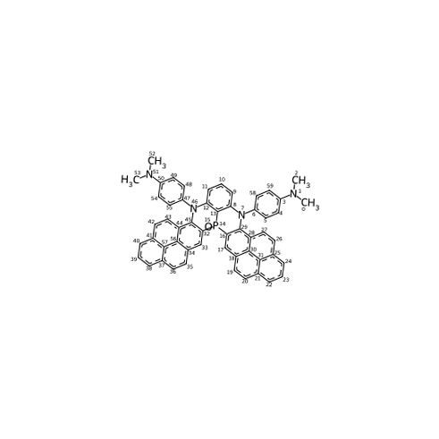 CN(C)c1ccc(N2c3cccc4c3P(=O)(c3cc5ccc6cccc7ccc(c32)c5c67)c2cc3ccc5cccc6ccc(c2N4c2ccc(N(C)C)cc2)c3c56)cc1